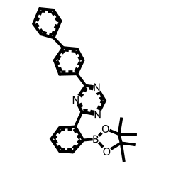 CC1(C)OB(c2ccccc2-c2ncnc(-c3ccc(-c4ccccc4)cc3)n2)OC1(C)C